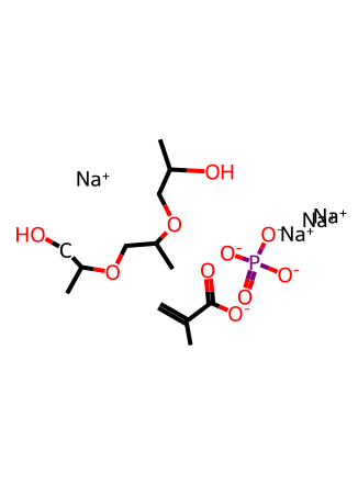 C=C(C)C(=O)[O-].CC(O)COC(C)COC(C)CO.O=P([O-])([O-])[O-].[Na+].[Na+].[Na+].[Na+]